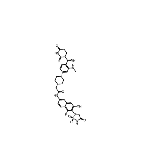 CNc1cc([C@H]2CC[C@H](CC(=O)Nc3ccc4c(F)c(N5CC(=O)NS5(=O)=O)c(O)cc4c3)CC2)ccc1C(=N)C1CCC(=O)NC1=O